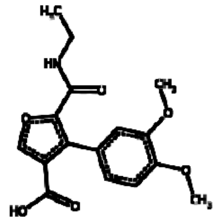 CCNC(=O)c1occ(C(=O)O)c1-c1ccc(OC)c(OC)c1